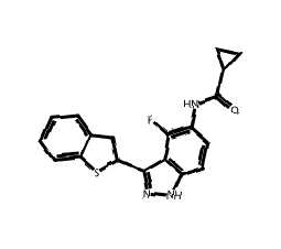 O=C(Nc1ccc2[nH]nc(C3Cc4ccccc4S3)c2c1F)C1CC1